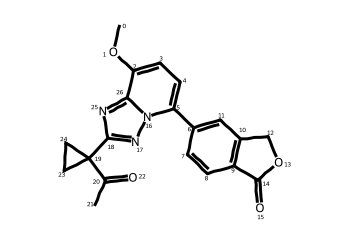 COc1ccc(-c2ccc3c(c2)COC3=O)n2nc(C3(C(C)=O)CC3)nc12